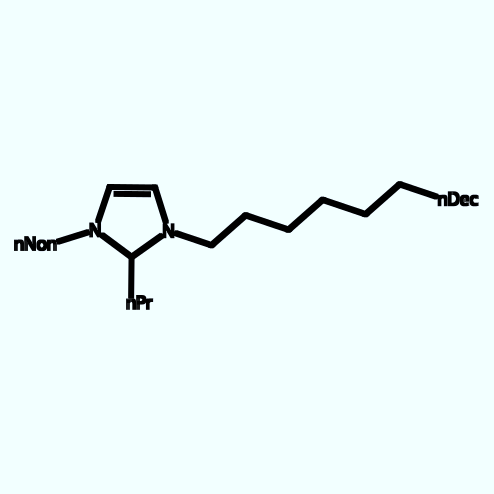 CCCCCCCCCCCCCCCCN1C=CN(CCCCCCCCC)C1CCC